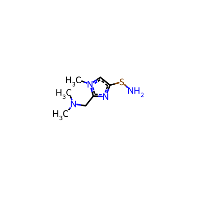 CN(C)Cc1nc(SN)cn1C